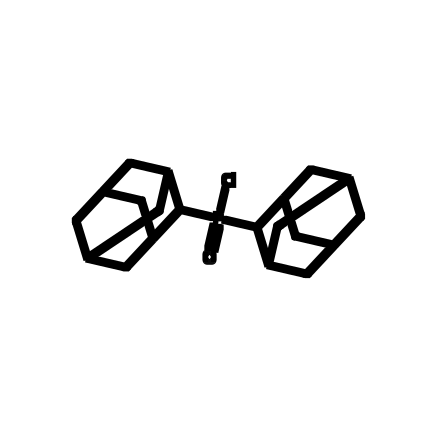 O=P(Cl)(C1C2CC3CC(C2)CC1C3)C1C2CC3CC(C2)CC1C3